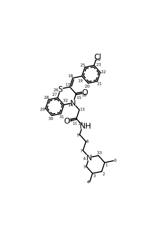 CC1CC(C)CN(CCCNC(=O)CN2C(=O)/C(=C\c3cccc(Cl)c3)Sc3ccccc32)C1